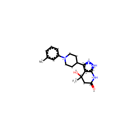 N#Cc1cccc(N2CCC(c3n[nH]c4c3C(O)(C(F)(F)F)CC(=O)N4)CC2)c1